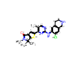 CN1C(=O)c2cc(-c3nc(Nc4cc5c(cc4Cl)CNCC5)ncc3C(F)(F)F)sc2C1(C)C